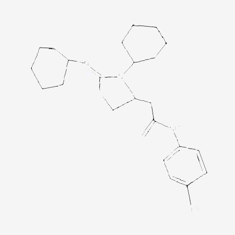 CC(C)c1ccc(NC(=O)CC2CS/C(=N\C3CCCCC3)N2C2CCCCC2)cc1.Cl